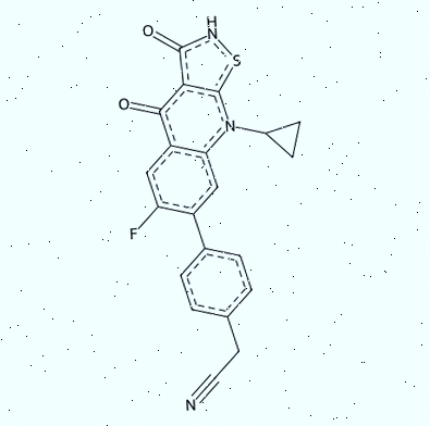 N#CCc1ccc(-c2cc3c(cc2F)c(=O)c2c(=O)[nH]sc2n3C2CC2)cc1